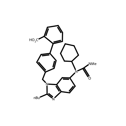 CCCCc1nc2ccc(N(C(=O)NC)C3CCCCC3)cc2n1Cc1ccc(-c2ccccc2C(=O)O)cc1